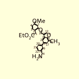 CCOC(=O)Cc1ccc(OC)cc1OCc1coc2c(C)cc(-c3cccc(CN)c3)cc12